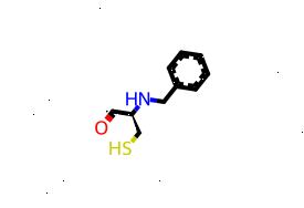 O=[C][C@H](CS)NCc1ccccc1